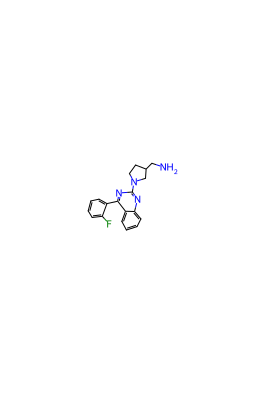 NCC1CCN(c2nc(-c3ccccc3F)c3ccccc3n2)C1